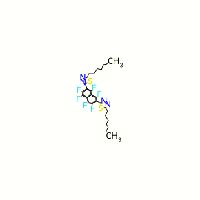 CCCCCCCc1nnc(-c2c(F)c(F)c3c(F)c(F)c(-c4nnc(CCCCCCC)s4)c(F)c3c2F)s1